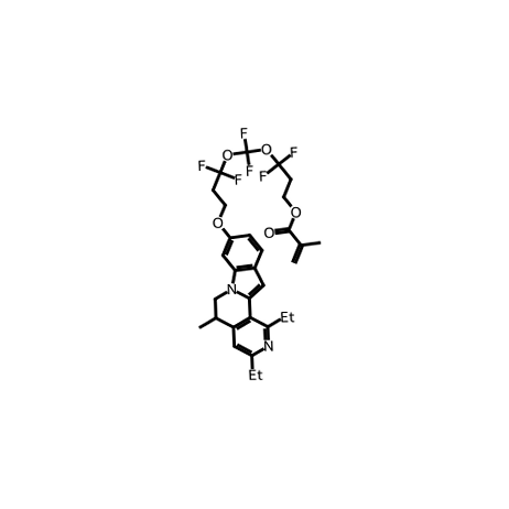 C=C(C)C(=O)OCCC(F)(F)OC(F)(F)OC(F)(F)CCOc1ccc2cc3n(c2c1)CC(C)c1cc(CC)nc(CC)c1-3